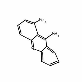 Nc1cccc2nc3ccccc3c(N)c12